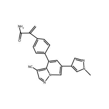 C=C(C(N)=O)c1ccc(-c2cc(-c3cnn(C)c3)cn3ncc(C#N)c23)cc1